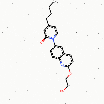 CCCCc1ccn(-c2ccc3nc(OCCO)ccc3c2)c(=O)c1